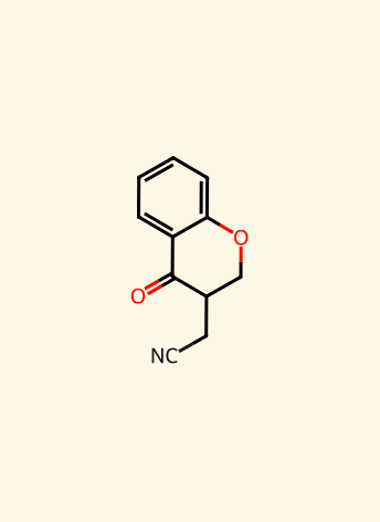 N#CCC1COc2ccccc2C1=O